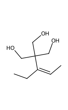 CC=C(CC)C(CO)(CO)CO